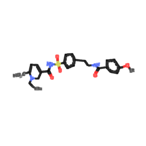 CCOc1ccc(C(=O)NCCc2ccc(S(=O)(=O)NC(=O)C3=CC=C(C(=O)O)N(CC(C)(C)C)C3)cc2)cc1